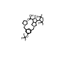 O=C(O)C1NC(C(C(F)(F)F)C(F)(F)F)C2CN(Cc3cc(CN4CCCC4)cc(OC(F)(F)F)c3)CC12